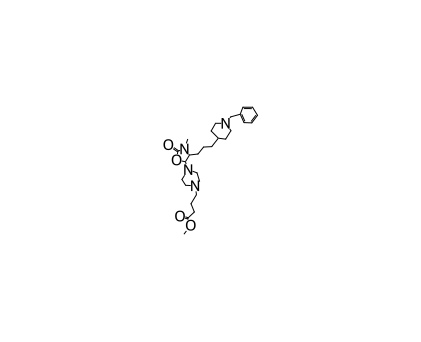 COC(=O)CCCN1CCN(C2OC(=O)N(C)C2CCCC2CCN(Cc3ccccc3)CC2)CC1